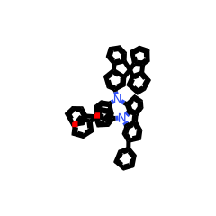 c1ccc(-c2ccc(N(c3ccc4c(c3)C3(c5ccccc5-c5ccccc53)c3ccccc3-4)c3cccc4c5ccc(-c6ccccc6)cc5n(-c5ccc(-c6ccccc6)cc5)c34)cc2)cc1